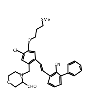 CSCCCOc1cc(/C=C/c2cccc(-c3ccccc3)c2C#N)c(CN2CCOCC2C=O)cc1Cl